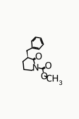 COC(=O)N1CCC[C@@H](Cc2ccccc2)C1=O